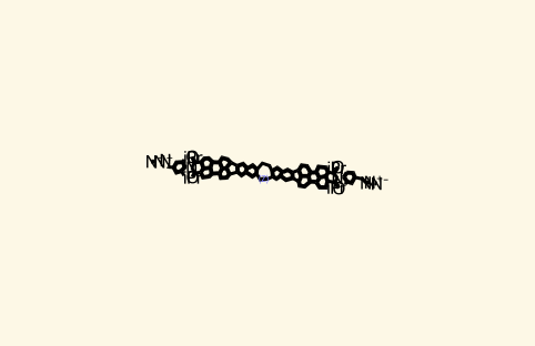 CC(C)c1cc(CN=[N+]=[N-])cc(C(C)C)c1N1C(=O)c2ccc3c4ccc5c6c(ccc(c7ccc(c2c37)C1=O)c64)-c1cc2cc3c(cc2cc1-5)/C=C\c1cc2cc4c(cc2cc1CC3)-c1ccc2c3ccc5c6c(ccc(c7ccc-4c1c72)c63)C(=O)N(c1c(C(C)C)cc(CN=[N+]=[N-])cc1C(C)C)C5=O